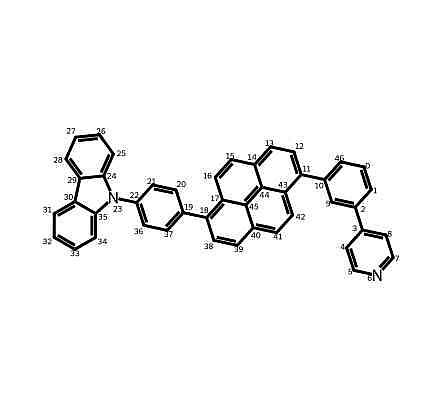 c1cc(-c2ccncc2)cc(-c2ccc3ccc4c(-c5ccc(-n6c7ccccc7c7ccccc76)cc5)ccc5ccc2c3c54)c1